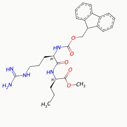 CCC[C@@H](NC(=O)[C@@H](CCCNC(=N)N)NC(=O)OCC1c2ccccc2-c2ccccc21)C(=O)OC